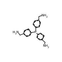 NCc1ccc(P(c2ccc(CN)cc2)c2ccc(CN)cc2)cc1